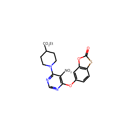 CCOC(=O)C1CCN(c2ncnc(Oc3ccc4sc(=O)oc4c3)c2[N+](=O)[O-])CC1